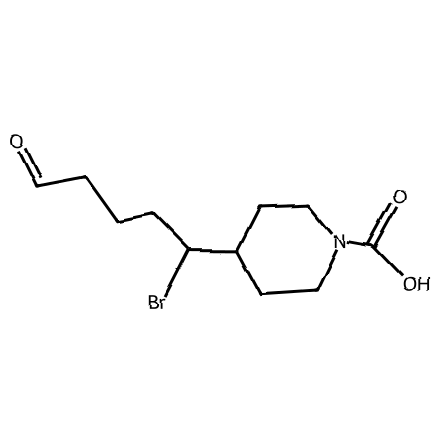 O=CCCCC(Br)C1CCN(C(=O)O)CC1